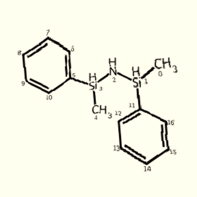 C[SiH](N[SiH](C)c1ccccc1)c1ccccc1